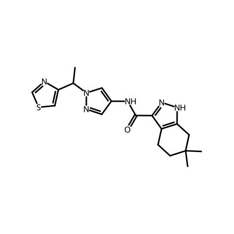 CC(c1cscn1)n1cc(NC(=O)c2n[nH]c3c2CCC(C)(C)C3)cn1